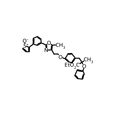 CCOC(=O)C(C)(Cc1ccc(OCCc2nc(-c3cccc(-c4ccc[s+]4[O-])c3)oc2C)cc1)Oc1ccccc1